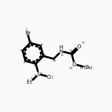 CC[S+]([O-])c1ccc(Br)cc1CNC(=O)OC(C)(C)C